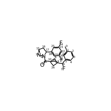 Cc1cccc(C(F)C23CC(C(=O)N4N=CCC4c4cc(F)cc(F)c4)(C2)C3)c1